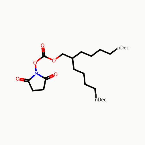 CCCCCCCCCCCCCCC(CCCCCCCCCCCCCC)COC(=O)ON1C(=O)CCC1=O